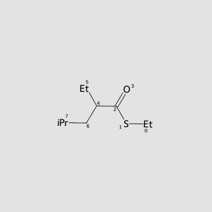 CCSC(=O)C(CC)CC(C)C